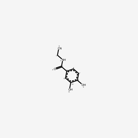 N#CCNC(=O)c1ccc(O)c(O)c1